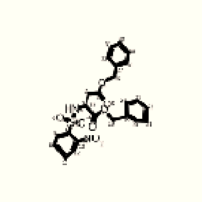 O=C(C[C@H](NS(=O)(=O)c1ccccc1[N+](=O)[O-])C(=O)OCc1ccccc1)OCc1ccccc1